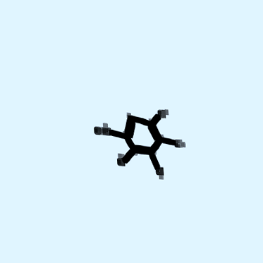 O=Cc1cc(Cl)c(Cl)c(Cl)c1Cl